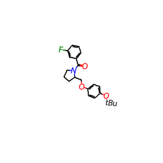 CC(C)(C)Oc1ccc(OCC2CCCN2C(=O)c2cccc(F)c2)cc1